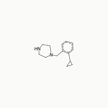 c1ccc(C2CC2)c(CN2CCNCC2)c1